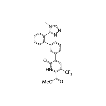 COC(=O)c1[nH]c(=O)c(-c2cccc(-c3ccccc3-c3nncn3C)c2)cc1C(F)(F)F